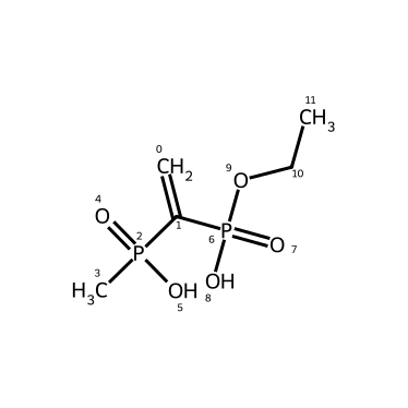 C=C(P(C)(=O)O)P(=O)(O)OCC